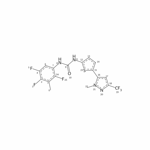 Cc1c(F)c(F)cc(NC(=O)Nc2ccc(-c3cc(C(F)(F)F)nn3C)s2)c1F